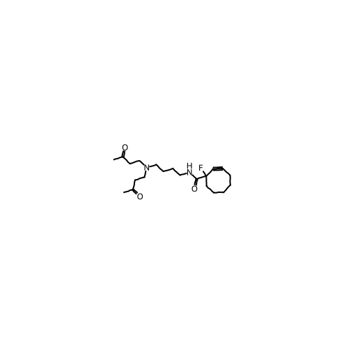 CC(=O)CCN(CCCCNC(=O)C1(F)C#CCCCCC1)CCC(C)=O